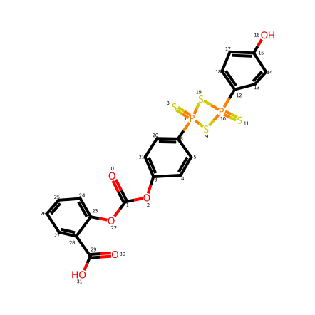 O=C(Oc1ccc(P2(=S)SP(=S)(c3ccc(O)cc3)S2)cc1)Oc1ccccc1C(=O)O